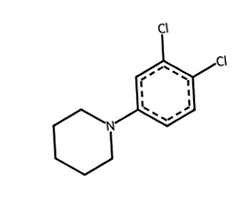 Clc1ccc(N2CCCCC2)cc1Cl